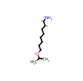 CC(C)OCCCCCCCCN